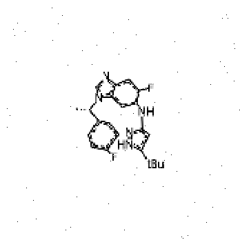 C[C@@H](c1ccc(F)cc1)n1cnc2cc(F)c(Nc3cc(C(C)(C)C)[nH]n3)cc21